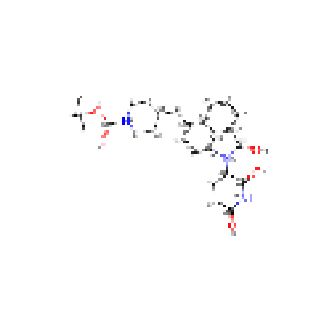 CC(C)(C)OC(=O)N1CCC(Cc2ccc3c4c(cccc24)C(=O)N3C2CCC(=O)NC2=O)CC1